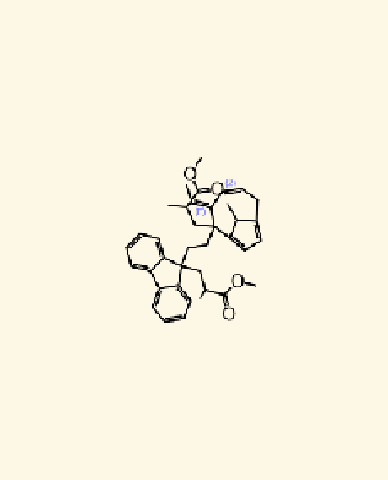 C/C=C1\C=C/CC2=CC=C(C2C)C1(CCC1(CC(C)C(=O)OC)c2ccccc2-c2ccccc21)CC(C)C(=O)OC